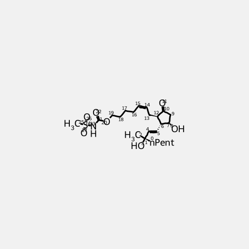 CCCCC[C@](C)(O)/C=C/[C@H]1[C@H](O)CC(=O)[C@@H]1C/C=C\CCCCOC(=O)NS(C)(=O)=O